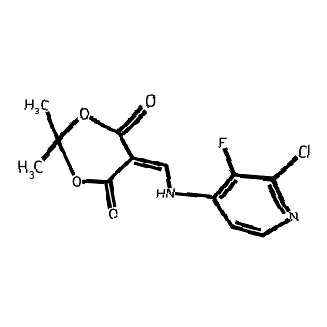 CC1(C)OC(=O)C(=CNc2ccnc(Cl)c2F)C(=O)O1